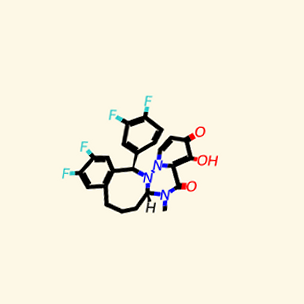 CN1C(=O)c2c(O)c(=O)ccn2N2[C@H](c3ccc(F)c(F)c3)c3cc(F)c(F)cc3CCC[C@@H]12